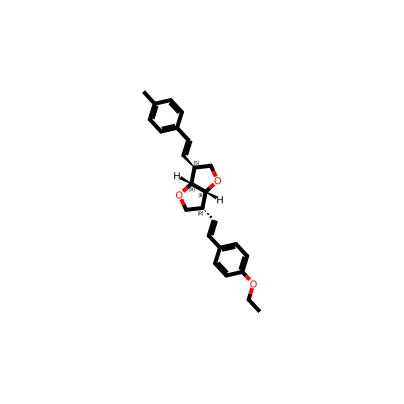 CCOc1ccc(C=C[C@@H]2CO[C@H]3[C@@H]2OC[C@@H]3C=Cc2ccc(C)cc2)cc1